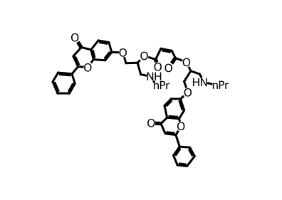 CCCNCC(COc1ccc2c(=O)cc(-c3ccccc3)oc2c1)OC(=O)/C=C\C(=O)OC(CNCCC)COc1ccc2c(=O)cc(-c3ccccc3)oc2c1